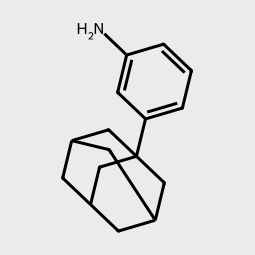 Nc1cccc(C23CC4CC(CC(C4)C2)C3)c1